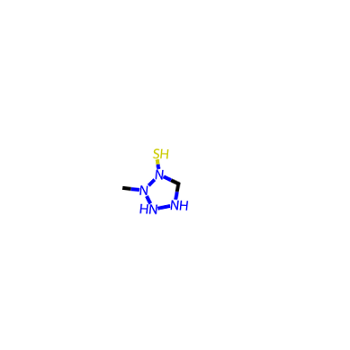 CN1NNCN1S